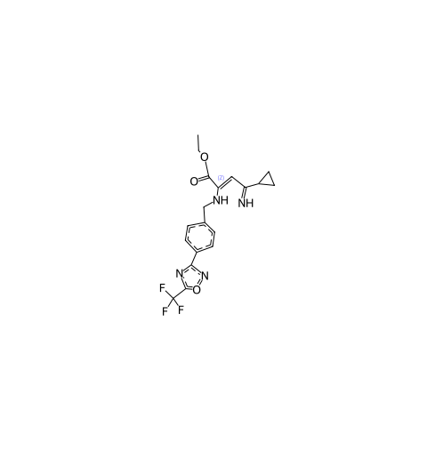 CCOC(=O)/C(=C/C(=N)C1CC1)NCc1ccc(-c2noc(C(F)(F)F)n2)cc1